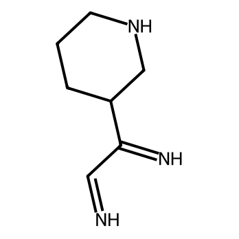 N=CC(=N)C1CCCNC1